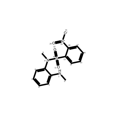 CNc1ccccc1N(C)S(=O)(=O)c1ccccc1[N+](=O)[O-]